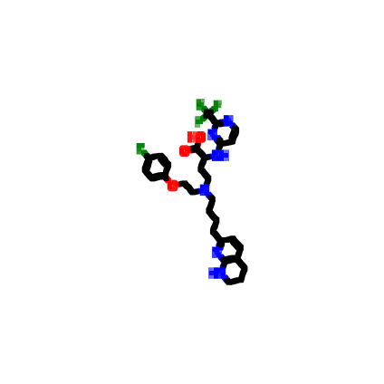 O=C(O)C(CCN(CCCCc1ccc2c(n1)NCCC2)CCOc1ccc(F)cc1)Nc1ccnc(C(F)(F)F)n1